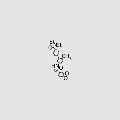 CCN(CC)C(=O)c1ccc(-c2cc(NC(=O)C3(c4ccc5c(c4)OCO5)CC3)ccc2C)cc1